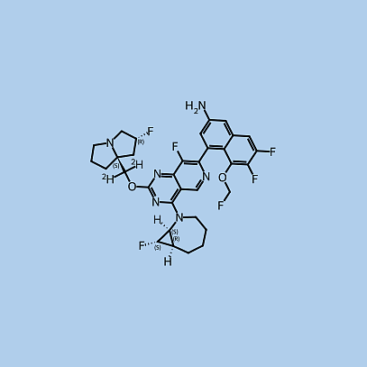 [2H]C([2H])(Oc1nc(N2CCCC[C@H]3[C@H](F)[C@H]32)c2cnc(-c3cc(N)cc4cc(F)c(F)c(OCF)c34)c(F)c2n1)[C@@]12CCCN1C[C@H](F)C2